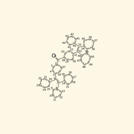 O=C(c1ccc(C(=C(c2ccccc2)c2ccccc2)c2ccccc2)cc1)c1ccc(C(=C(c2ccccc2)c2ccccc2)c2ccccc2)cc1